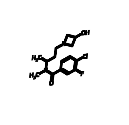 CC(CCN1CC(O)C1)N(C)C(=O)c1ccc(Cl)c(F)c1